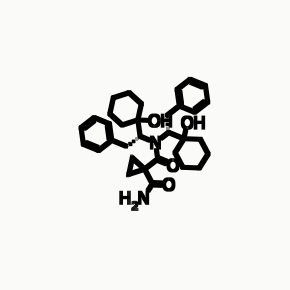 NC(=O)C1(C(=O)N([C@H](Cc2ccccc2)C2(O)CCCCC2)[C@H](Cc2ccccc2)C2(O)CCCCC2)CC1